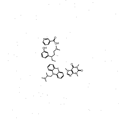 CC(CN1c2ccccc2Sc2ccccc21)N(C)C.CC[C@@H](c1cccc(O)c1)[C@@H](C)CN(C)C.Cn1c(=O)c2c(ncn2C)n(C)c1=O.O=C(O)c1cccnc1